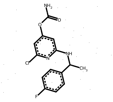 CC(Nc1cc(OC(N)=O)cc(Cl)n1)c1ccc(F)cc1